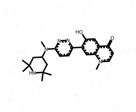 CN(c1ccc(-c2cc3c(cc2O)c(=O)ccn3C)nn1)C1CC(C)(C)NC(C)(C)C1